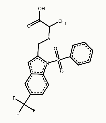 CC(SCc1cc2cc(C(F)(F)F)ccc2n1S(=O)(=O)c1ccccc1)C(=O)O